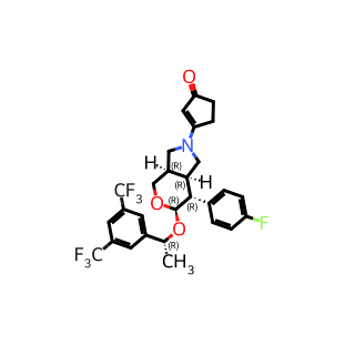 C[C@@H](O[C@H]1OC[C@H]2CN(C3=CC(=O)CC3)C[C@H]2[C@@H]1c1ccc(F)cc1)c1cc(C(F)(F)F)cc(C(F)(F)F)c1